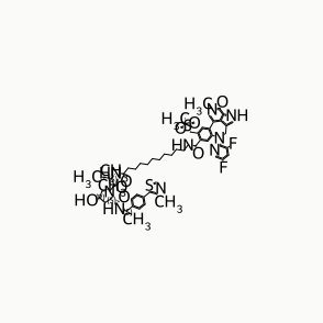 Cc1ncsc1-c1ccc([C@H](C)NC(=O)[C@@H]2C[C@@H](O)CN2C(=O)[C@@H](NC(=O)CCCCCCCCCCNC(=O)c2cc3c(cc2CS(C)(=O)=O)-c2cn(C)c(=O)c4[nH]cc(c24)CN3c2ncc(F)cc2F)C(C)(C)C)cc1